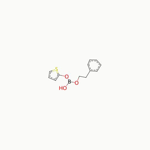 OB(OCCc1ccccc1)Oc1cccs1